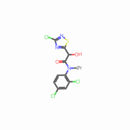 CC(C)N(C(=O)C(O)c1nc(Cl)ns1)c1ccc(Cl)cc1Cl